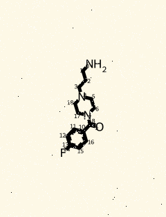 NCCCN1CCN(C(=O)c2ccc(F)cc2)CC1